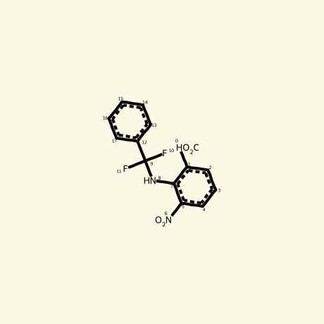 O=C(O)c1cccc([N+](=O)[O-])c1NC(F)(F)c1ccccc1